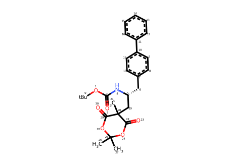 CC(C)(C)OC(=O)N[C@H](Cc1ccc(-c2ccccc2)cc1)CC1(C)C(=O)OC(C)(C)OC1=O